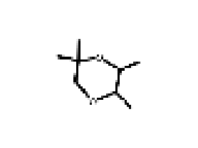 CC1OCC(C)(C)OC1I